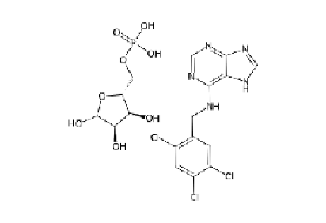 Clc1cc(Cl)c(CNc2ncnc3nc[nH]c23)cc1Cl.O=P(O)(O)OC[C@H]1OC(O)[C@H](O)[C@@H]1O